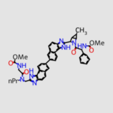 CCCN(Cc1nc2ccc3cc(-c4ccc5c(ccc6nc(C7C8C([C@@H]8C)N7C(=O)[C@H](NC(=O)OC)c7ccccc7)[nH]c65)c4)ccc3c2[nH]1)C(=O)CNC(=O)OC